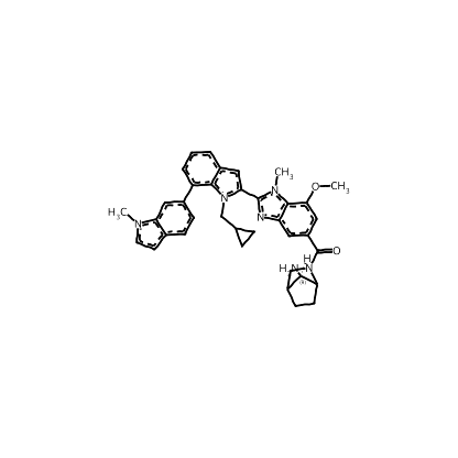 COc1cc(C(=O)N2CC3CCC2[C@@H]3N)cc2nc(-c3cc4cccc(-c5ccc6ccn(C)c6c5)c4n3CC3CC3)n(C)c12